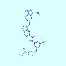 Cc1n[nH]c2ncc(CN3CCc4ccc(C(=O)Nc5cc(CN6CCC(N(C)C)C6)cc(C(F)(F)F)c5)cc43)cc12